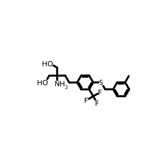 Cc1cccc(CSc2ccc(CCC(N)(CO)CO)cc2C(F)(F)F)c1